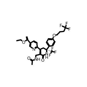 C=C(OCC)c1ccc(C2=C(CNC(C)=O)C(=O)N[C@@](c3ccc(OCCCC(F)(F)F)cc3)(C(F)(F)F)C2)nc1